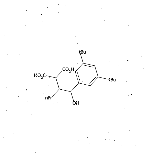 CCCC(C(C(=O)O)C(=O)O)C(O)c1cc(C(C)(C)C)cc(C(C)(C)C)c1